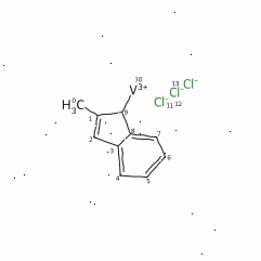 CC1=Cc2ccccc2[CH]1[V+3].[Cl-].[Cl-].[Cl-]